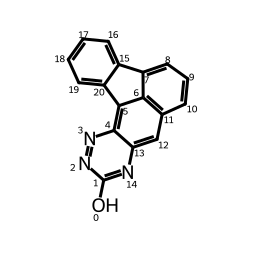 Oc1nnc2c3c4c(cccc4cc2n1)-c1ccccc1-3